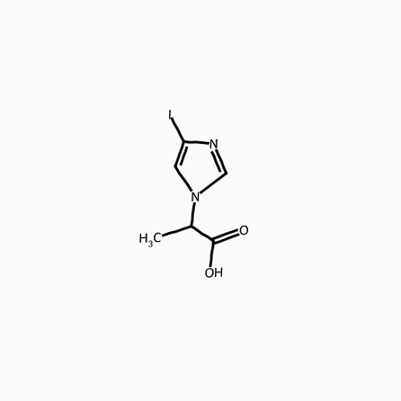 CC(C(=O)O)n1cnc(I)c1